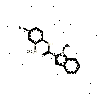 CCCCn1c(C(=O)Nc2ccc(Br)cc2C(=O)O)cc2ccccc21